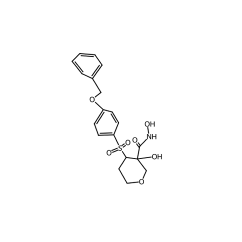 O=C(NO)C1(O)COCCC1S(=O)(=O)c1ccc(OCc2ccccc2)cc1